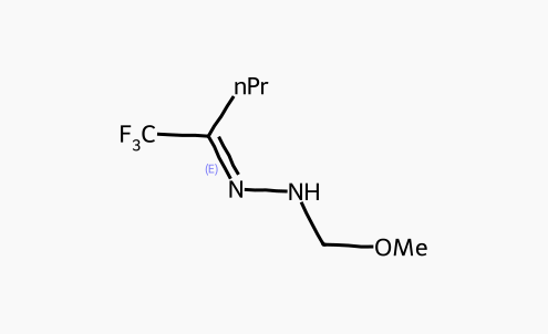 CCC/C(=N\NCOC)C(F)(F)F